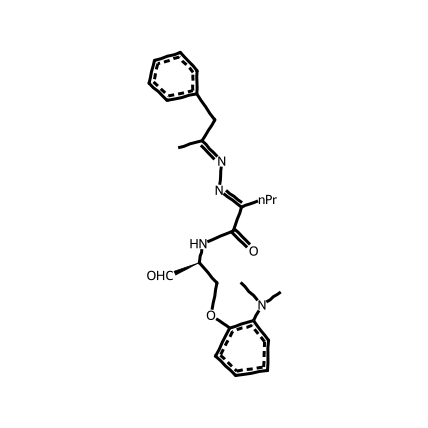 CCC/C(=N\N=C(/C)Cc1ccccc1)C(=O)N[C@H](C=O)COc1ccccc1N(C)C